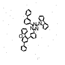 c1ccc(-c2cccc(-c3nc(-c4cccc(-c5cc(-c6ccccc6)cc6oc7ccccc7c56)c4)nc(-n4c5ccccc5c5ccccc54)n3)c2)cc1